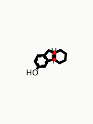 Oc1ccc2c(c1)C13CCCCC1(CCCN3)C2